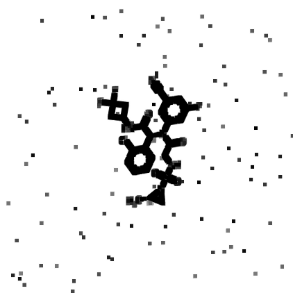 C[C@H]1CN1S(=O)(=O)NCC(=O)N(c1cc(F)cc(C#N)c1)[C@H](C(=O)NC1CC(F)(F)C1)c1ccccc1Cl